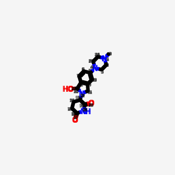 CN1CCN(c2ccc3c(c2)CN(C2CCC(=O)NC2=O)C3O)CC1